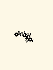 Cn1c(Cn2ccc3c(C(=O)c4c(F)cc(F)cc4F)c[nH]c3c2=O)nc2ccccc21